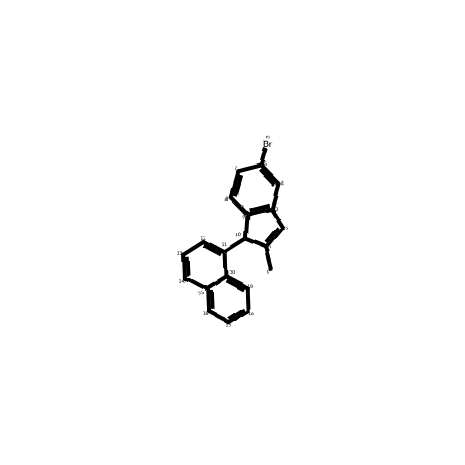 CC1=Cc2cc(Br)ccc2C1c1cccc2ccccc12